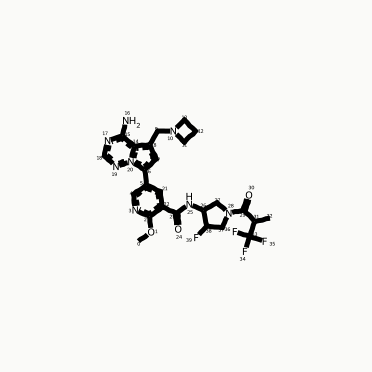 COc1ncc(-c2cc(CN3CCC3)c3c(N)ncnn23)cc1C(=O)NC1CN(C(=O)C(C)C(F)(F)F)CC1F